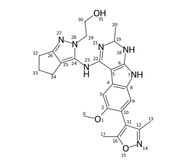 COc1cc2c3c([nH]c2cc1-c1c(C)noc1C)NC(C)N=C3Nc1c2c(nn1CCO)CCC2